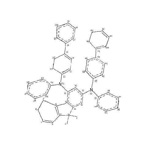 CC1(C)C2=C(CCC=C2)c2c(N(C3=CC=C(c4ccccc4)CC3)c3ccccc3)cc(N(c3ccccc3)c3ccc(C4=CC=CCC4)cc3)cc21